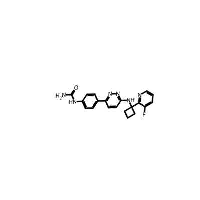 NC(=O)Nc1ccc(-c2ccc(NC3(c4ncccc4F)CCC3)nn2)cc1